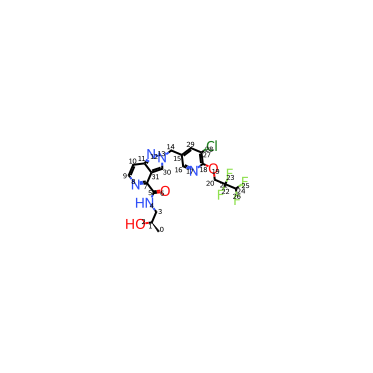 C[C@@H](O)CNC(=O)c1nccc2nn(Cc3cnc(OCC(F)(F)C(F)F)c(Cl)c3)cc12